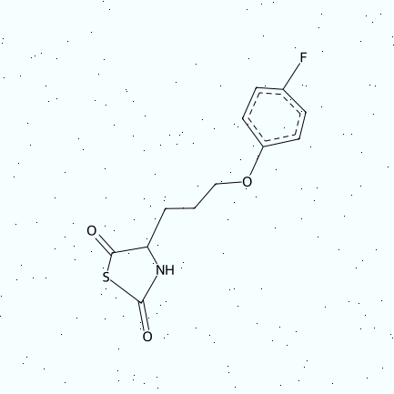 O=C1NC(CCCOc2ccc(F)cc2)C(=O)S1